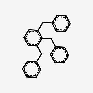 [c]1cc(Cc2ccccc2)c(Cc2ccccc2)c(Cc2ccccc2)c1